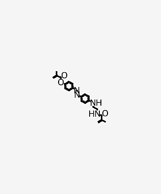 C=C(C)C(=O)NCCNc1ccc(N=Nc2ccc(OC(=O)C(=C)C)cc2)cc1